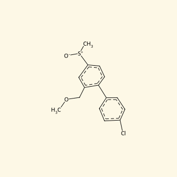 COCc1cc([S+](C)[O-])ccc1-c1ccc(Cl)cc1